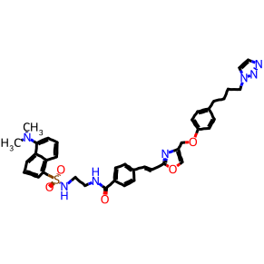 CN(C)c1cccc2c(S(=O)(=O)NCCNC(=O)c3ccc(/C=C/c4nc(COc5ccc(CCCCn6ccnn6)cc5)co4)cc3)cccc12